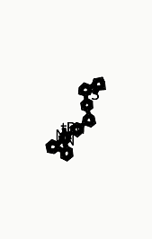 CC(C)(C)c1nc2c3ccccc3c3ccccc3c2nc1-c1ccc(-c2cccc(-c3ccc(-c4cccc5c4sc4ccccc45)cc3)c2)cc1